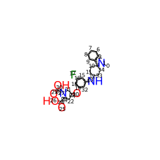 CN(C)C1(c2ccccc2)CCC(Nc2cc(F)cc(O[C@H]3C[C@@H](C(=O)O)N(C(=O)O)C3)c2)CC1